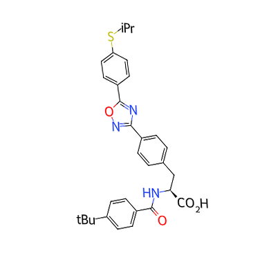 CC(C)Sc1ccc(-c2nc(-c3ccc(C[C@H](NC(=O)c4ccc(C(C)(C)C)cc4)C(=O)O)cc3)no2)cc1